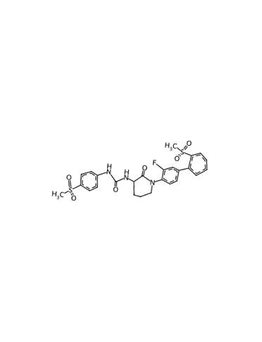 CS(=O)(=O)c1ccc(NC(=O)NC2CCCN(c3ccc(-c4ccccc4S(C)(=O)=O)cc3F)C2=O)cc1